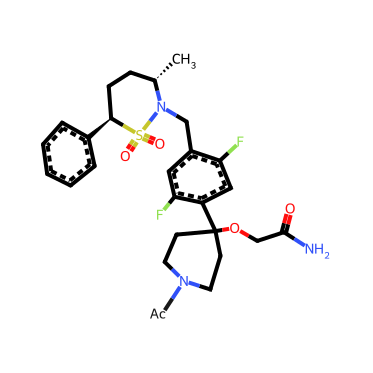 CC(=O)N1CCC(OCC(N)=O)(c2cc(F)c(CN3[C@@H](C)CC[C@H](c4ccccc4)S3(=O)=O)cc2F)CC1